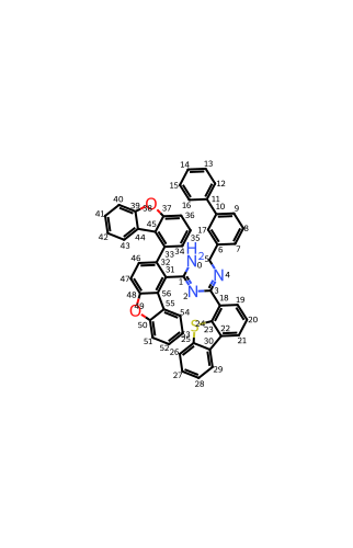 N/C(=N\C(=N/Cc1cccc(-c2ccccc2)c1)c1cccc2c1sc1ccccc12)c1c(-c2cccc3oc4ccccc4c23)ccc2oc3ccccc3c12